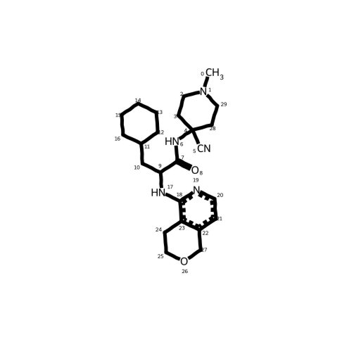 CN1CCC(C#N)(NC(=O)C(CC2CCCCC2)Nc2nccc3c2CCOC3)CC1